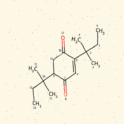 CCC(C)(C)C1=CC(=O)C(C(C)(C)CC)CC1=O